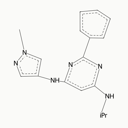 CC(C)Nc1cc(Nc2cnn(C)c2)nc(-c2ccccc2)n1